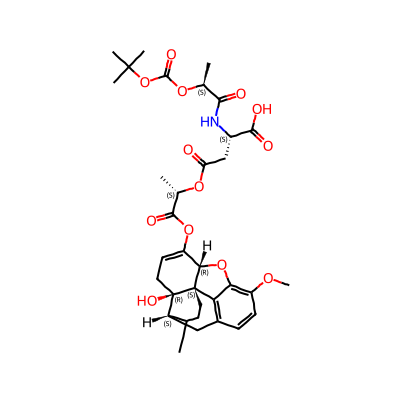 COc1ccc2c3c1O[C@H]1C(OC(=O)[C@H](C)OC(=O)C[C@H](NC(=O)[C@H](C)OC(=O)OC(C)(C)C)C(=O)O)=CC[C@@]4(O)[C@@H](C2)C(C)CC[C@]314